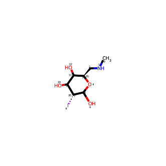 CNC[C@H]1OC(O)[C@H](I)C(O)C1O